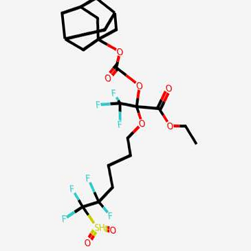 CCOC(=O)C(OCCCCC(F)(F)C(F)(F)[SH](=O)=O)(OC(=O)OC12CC3CC(CC(C3)C1)C2)C(F)(F)F